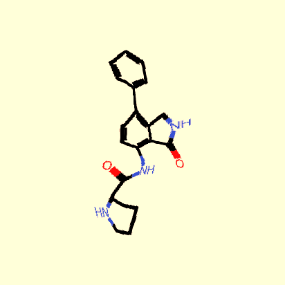 O=C1NCc2c(-c3ccccc3)ccc(NC(=O)C3CCCN3)c21